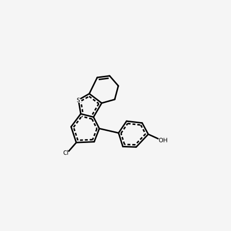 Oc1ccc(-c2cc(Cl)cc3sc4c(c23)CCC=C4)cc1